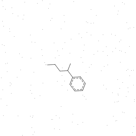 [CH2]CCC(C)c1ccccc1